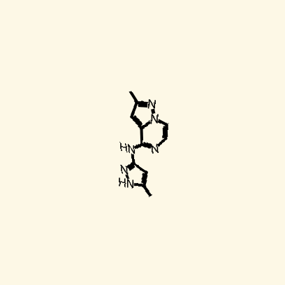 Cc1cc2c(Nc3cc(C)[nH]n3)nccn2n1